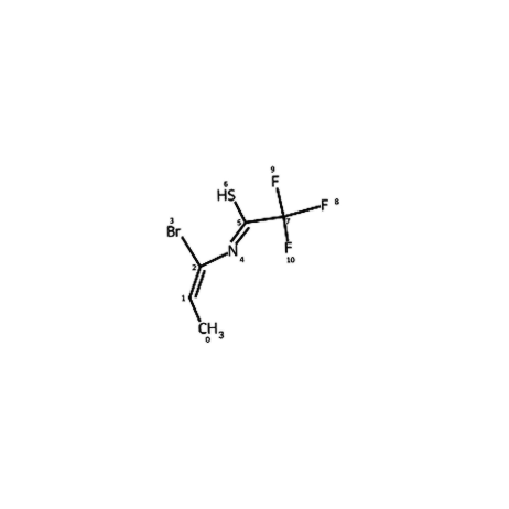 C/C=C(Br)\N=C(/S)C(F)(F)F